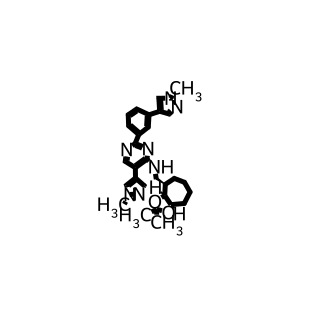 Cn1cc(-c2cccc(-c3ncc(-c4cnn(C)c4)c(NC[C@H]4CCCC[C@H]5OC(C)(C)O[C@@H]45)n3)c2)cn1